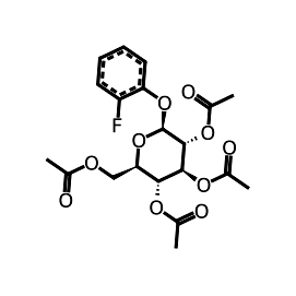 CC(=O)OC[C@H]1O[C@@H](Oc2ccccc2F)[C@H](OC(C)=O)[C@@H](OC(C)=O)[C@@H]1OC(C)=O